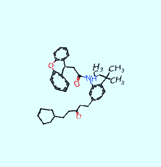 CC(C)(C)c1ccc(CCC(=O)CCC2CCCCC2)cc1NC(=O)CC1c2ccccc2Oc2ccccc21